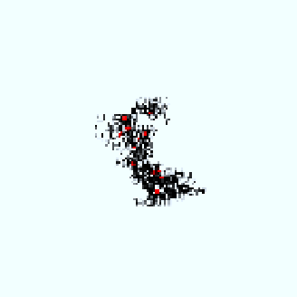 CCCC[C@@H](C(=O)N(C)[C@@H](CCCC)C(=O)N[C@@H](CC(C)C)C(=O)NCCSCC(CC)NCc1ccc(OC)c(B(O)O)c1)N(C)C(=O)[C@H](Cc1cn(CC(=O)O)c2ccccc12)NC(=O)CNC(=O)[C@H](Cc1c[nH]c2ccccc12)NC(=O)C1C[C@@H](O)CN1C(=O)CNC(=O)[C@H](CNCc1ccc(OC)c(B(O)O)c1)NC(=O)C1CCCN1C(=O)[C@H](CC(N)=O)NC(=O)[C@H](C)N(C)C(=O)CCc1ccc(O)cc1